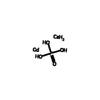 O=P(O)(O)O.[CaH2].[Gd]